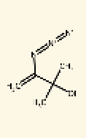 C=C(N=[N+]=[N-])C(C)(C)O